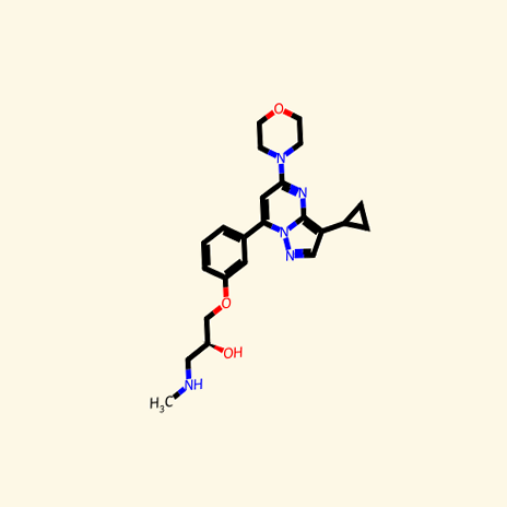 CNC[C@H](O)COc1cccc(-c2cc(N3CCOCC3)nc3c(C4CC4)cnn23)c1